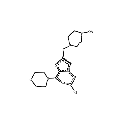 OC1CCN(Cc2cc3nc(Cl)nc(N4CCOCC4)c3s2)CC1